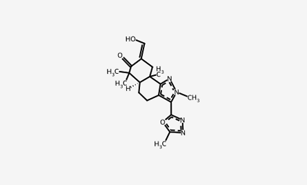 Cc1nnc(-c2c3c(nn2C)C2(C)C/C(=C/O)C(=O)C(C)(C)[C@@H]2CC3)o1